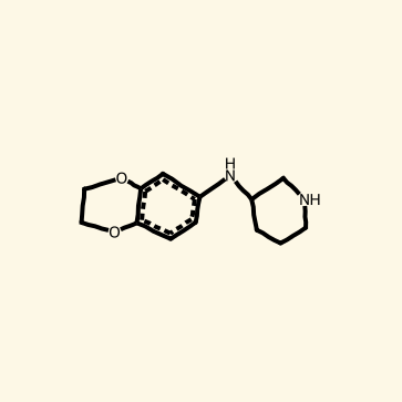 c1cc2c(cc1NC1CCCNC1)OCCO2